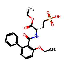 CCOC(=O)[C@H](CCS(=O)(=O)O)NC(=O)c1c(OCC)cccc1-c1ccccc1